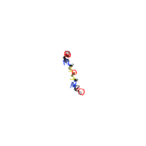 O=C=NCSOSCN=C=O